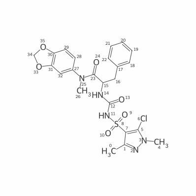 Cc1nn(C)c(Cl)c1S(=O)(=O)NC(=O)NC(Cc1ccccc1)C(=O)N(C)c1ccc2c(c1)OCO2